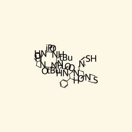 CC(C)[C@@H]1NC(=O)[C@@H]2[C@H](C)CCN2C(=O)CN/C(=N\C(C(=O)NC(C(=O)N[C@H](CC(=O)N2CCSCC2)CN(C)/C=C\S)[C@@H](C)c2ccccc2)C(C)(C)C)C(C(C)(C)C)NC1=O